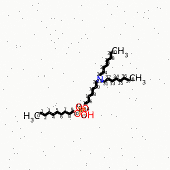 CCCCCCCCCCOP(=O)(O)OCCCCCCCN(CCCCCCCC)CCCCCCCC